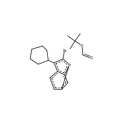 Brc1c(C2CCCCC2)c2ccc3cc2n1-3.CC(C)(C)OC=O